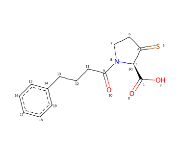 O=C(O)[C@@H]1C(=S)CCN1C(=O)CCCc1ccccc1